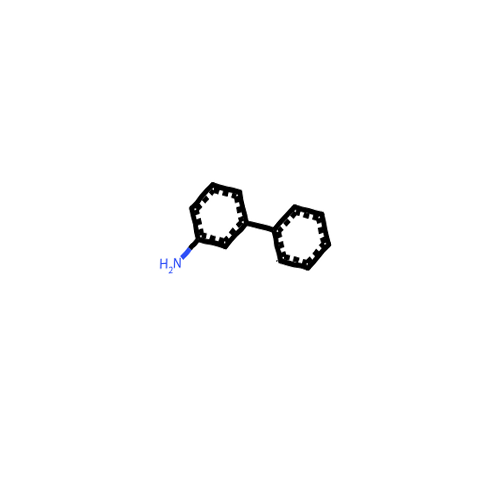 Nc1cccc(-c2[c]cccc2)c1